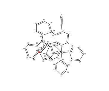 N#Cc1ccc([Si](c2ccccc2)(c2ccccc2)c2ccccc2)c(C#N)c1-c1ccccc1-n1c2ccccc2c2ccccc21